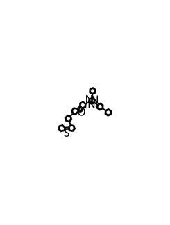 c1ccc(-c2ccc(-c3nc(-c4ccccc4)nc(-c4ccc5c(c4)oc4cc(-c6cccc(-c7cccc8sc9ccccc9c78)c6)ccc45)n3)cc2)cc1